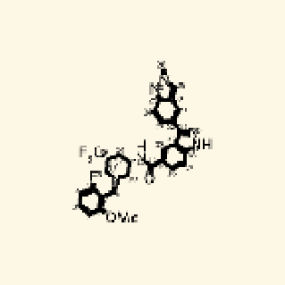 COc1cccc(F)c1CN1C[C@@H](NC(=O)c2ccc3[nH]nc(-c4ccc5nn(C)cc5c4)c3c2)C[C@@H](C(F)(F)F)C1